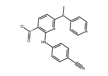 CN(c1ccncc1)c1ccc([N+](=O)[O-])c(Nc2ccc(C#N)cc2)n1